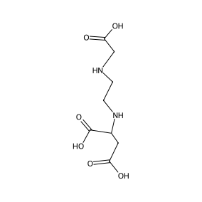 O=C(O)CNCCNC(CC(=O)O)C(=O)O